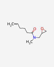 C=CCCCC(=O)N(C)CC1CO1